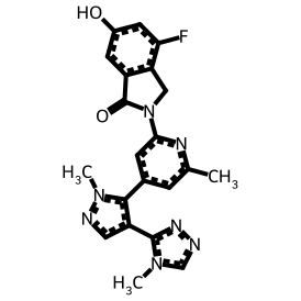 Cc1cc(-c2c(-c3nncn3C)cnn2C)cc(N2Cc3c(F)cc(O)cc3C2=O)n1